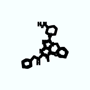 Cn1c(NCc2ccccc2)nc2nc(N3CCCC(N)C3)n(Cc3ccccc3)c2c1=O